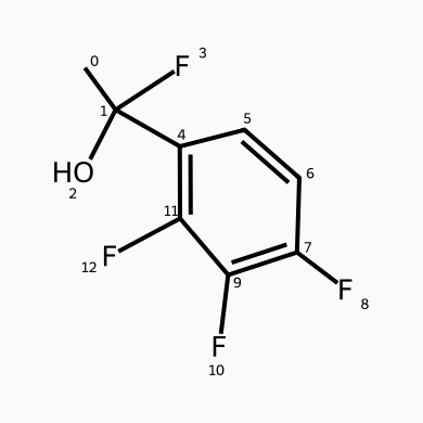 CC(O)(F)c1ccc(F)c(F)c1F